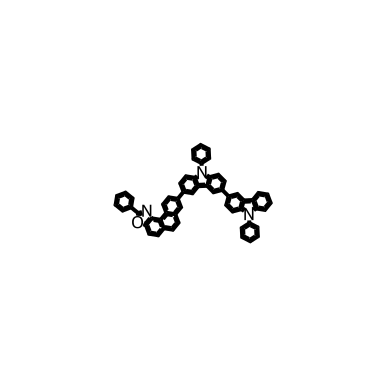 c1ccc(-c2nc3c(ccc4ccc5cc(-c6ccc7c(c6)c6cc(-c8ccc9c(c8)c8ccccc8n9-c8ccccc8)ccc6n7-c6ccccc6)ccc5c43)o2)cc1